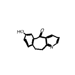 O=C1c2cc(O)ccc2CCc2ncccc21